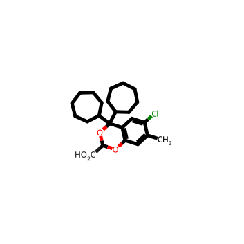 Cc1cc2c(cc1Cl)C(C1CCCCCC1)(C1CCCCCC1)OC(C(=O)O)O2